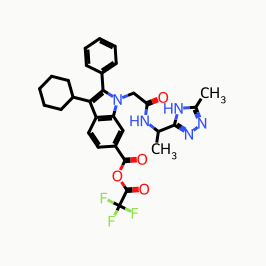 Cc1nnc(C(C)NC(=O)Cn2c(-c3ccccc3)c(C3CCCCC3)c3ccc(C(=O)OC(=O)C(F)(F)F)cc32)[nH]1